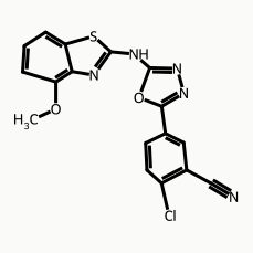 COc1cccc2sc(Nc3nnc(-c4ccc(Cl)c(C#N)c4)o3)nc12